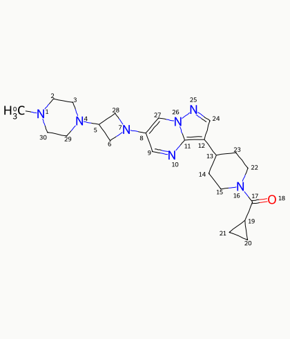 CN1CCN(C2CN(c3cnc4c(C5CCN(C(=O)C6CC6)CC5)cnn4c3)C2)CC1